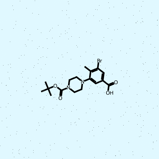 Cc1c(Br)cc(C(=O)O)cc1N1CCN(C(=O)OC(C)(C)C)CC1